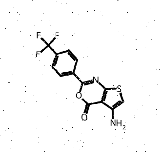 Nc1csc2nc(-c3ccc(C(F)(F)F)cc3)oc(=O)c12